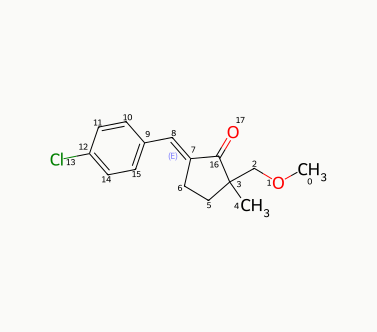 COCC1(C)CC/C(=C\c2ccc(Cl)cc2)C1=O